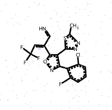 Cc1nnc(-c2c(-c3c(F)cccc3Cl)noc2/C(C=N)=C\C(F)(F)F)s1